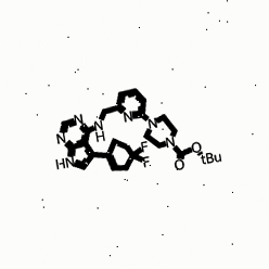 CC(C)(C)OC(=O)N1CCN(c2cccc(CNc3ncnc4[nH]cc(C5=CCC(F)(F)CC5)c34)n2)CC1